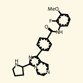 COc1cccc(NC(=O)c2ccc(-c3nc(C4CCCN4)n4ccncc34)cc2)c1F